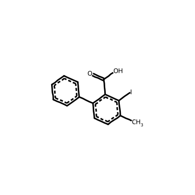 Cc1ccc(-c2ccccc2)c(C(=O)O)c1I